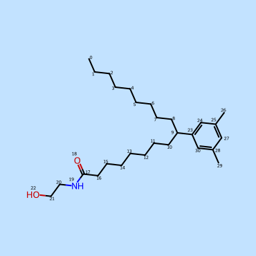 CCCCCCCCCC(CCCCCCCC(=O)NCCO)c1cc(C)cc(C)c1